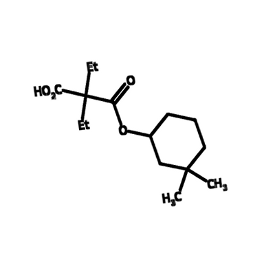 CCC(CC)(C(=O)O)C(=O)OC1CCCC(C)(C)C1